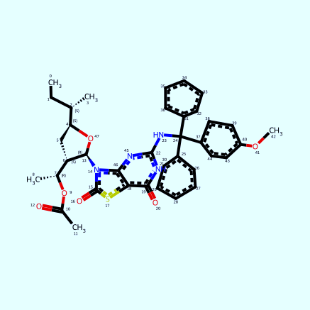 CC[C@H](C)[C@@H]1C[C@@H]([C@@H](C)OC(C)=O)[C@H](n2c(=O)sc3c(=O)[nH]c(NC(c4ccccc4)(c4ccccc4)c4ccc(OC)cc4)nc32)O1